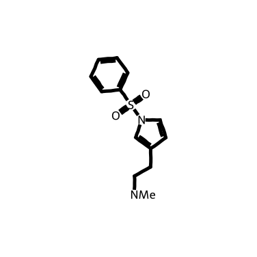 CNCCc1ccn(S(=O)(=O)c2ccccc2)c1